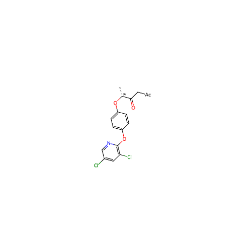 CC(=O)CC(=O)[C@@H](C)Oc1ccc(Oc2ncc(Cl)cc2Cl)cc1